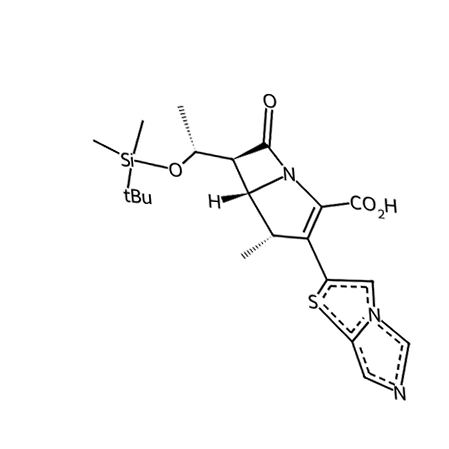 C[C@@H](O[Si](C)(C)C(C)(C)C)[C@H]1C(=O)N2C(C(=O)O)=C(c3cn4cncc4s3)[C@H](C)[C@H]12